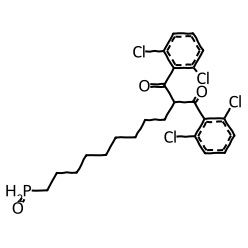 O=[PH2]CCCCCCCCCC(C(=O)c1c(Cl)cccc1Cl)C(=O)c1c(Cl)cccc1Cl